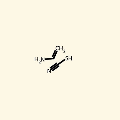 C=CN.N#CS